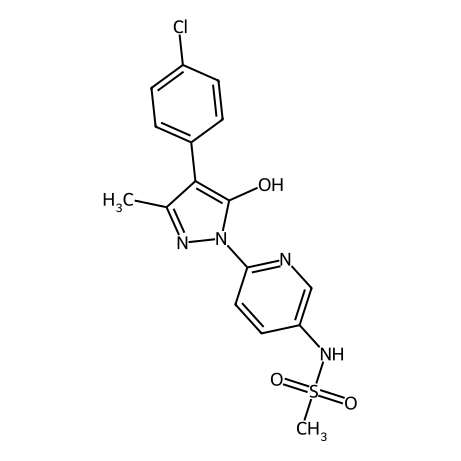 Cc1nn(-c2ccc(NS(C)(=O)=O)cn2)c(O)c1-c1ccc(Cl)cc1